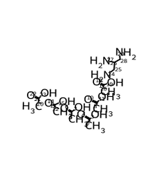 CC(=O)O.CC(=O)O.CC(=O)O.CC(=O)O.CC(=O)O.CC(=O)O.NCC(N)CN